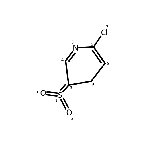 O=S(=O)=C1C=NC(Cl)=CC1